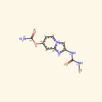 CCNC(=O)Nc1cn2ccc(OC(N)=O)cc2n1